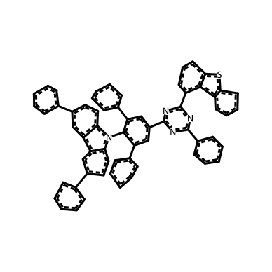 c1ccc(-c2ccc3c(c2)c2cc(-c4ccccc4)ccc2n3-c2c(-c3ccccc3)cc(-c3nc(-c4ccccc4)nc(-c4cccc5sc6ccccc6c45)n3)cc2-c2ccccc2)cc1